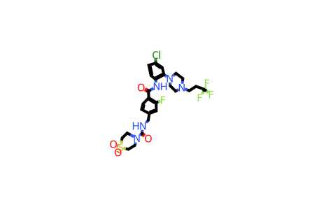 O=C(Nc1ccc(Cl)cc1N1CCN(CCC(F)(F)F)CC1)c1ccc(CNC(=O)N2CCS(=O)(=O)CC2)cc1F